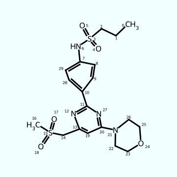 CCCS(=O)(=O)Nc1ccc(-c2nc(CS(C)(=O)=O)cc(N3CCOCC3)n2)cc1